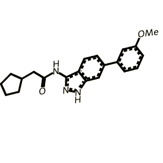 COc1cccc(-c2ccc3c(NC(=O)CC4CCCC4)n[nH]c3c2)c1